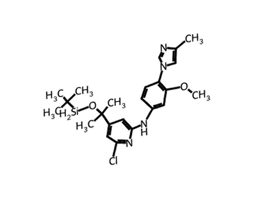 COc1cc(Nc2cc(C(C)(C)O[SiH2]C(C)(C)C)cc(Cl)n2)ccc1-n1cnc(C)c1